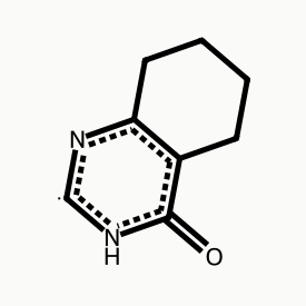 O=c1[nH][c]nc2c1CCCC2